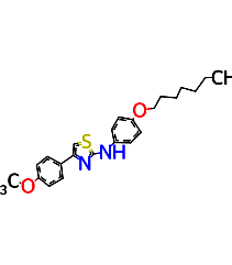 CCCCCCCOc1ccc(Nc2nc(-c3ccc(OC)cc3)cs2)cc1